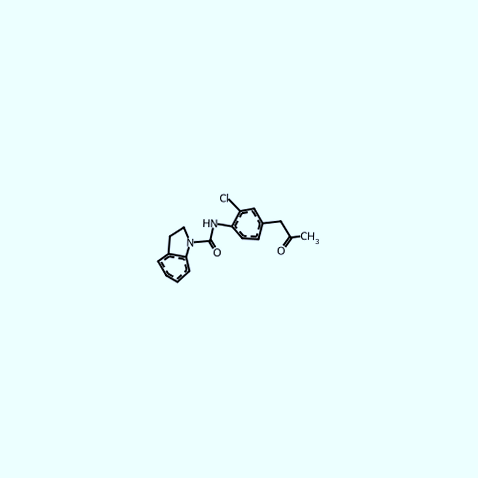 CC(=O)Cc1ccc(NC(=O)N2CCc3ccccc32)c(Cl)c1